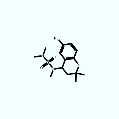 CN(C)S(=O)(=O)N(C)C1CC(C)(C)Oc2ccc(C#N)cc21